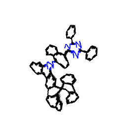 c1ccc(-c2nc(-c3ccccc3)nc(-c3ccc(-n4c5ccccc5c5cc6c(cc54)C4(c5ccccc5-c5ccccc54)c4c-6ccc5ccccc45)c4ccccc34)n2)cc1